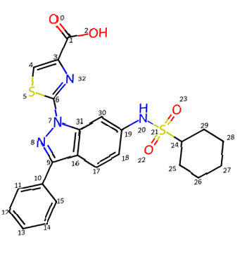 O=C(O)c1csc(-n2nc(-c3ccccc3)c3ccc(NS(=O)(=O)C4CCCCC4)cc32)n1